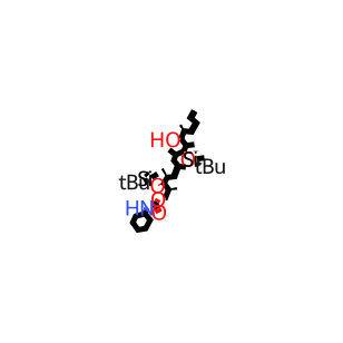 C=C/C=C\[C@H](C)C(O)C(C)C(O[Si](C)(C)C(C)(C)C)C(C)C/C(C)=C\[C@H](C)[C@@H](O[Si](C)(C)C(C)(C)C)[C@@H](C)COC(=O)NC1CCCCC1